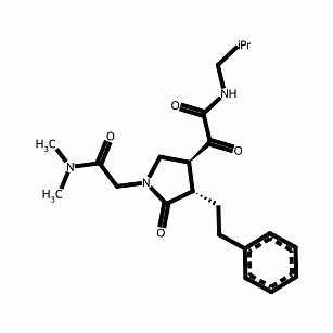 CC(C)CNC(=O)C(=O)[C@@H]1CN(CC(=O)N(C)C)C(=O)[C@H]1CCc1ccccc1